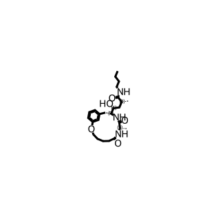 CCCCNC(=O)[C@H](C)C[C@H](O)[C@H]1Cc2cccc(c2)OCCCCC(=O)N[C@@H](C)C(=O)N1